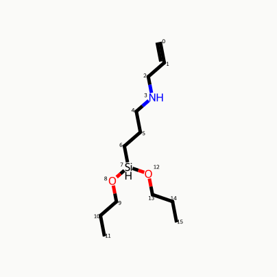 C=CCNCCC[SiH](OCCC)OCCC